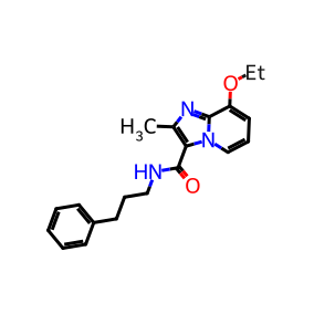 CCOc1cccn2c(C(=O)NCCCc3ccccc3)c(C)nc12